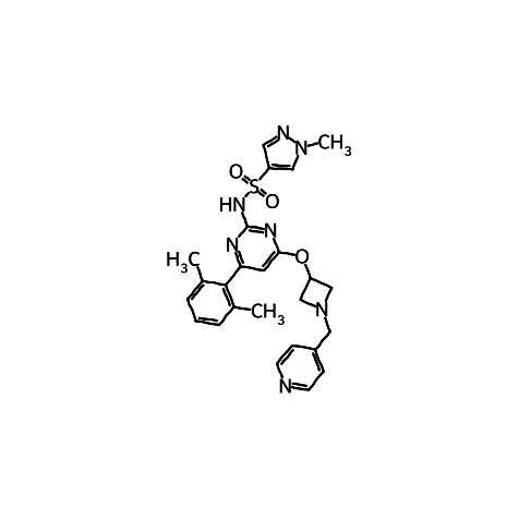 Cc1cccc(C)c1-c1cc(OC2CN(Cc3ccncc3)C2)nc(NS(=O)(=O)c2cnn(C)c2)n1